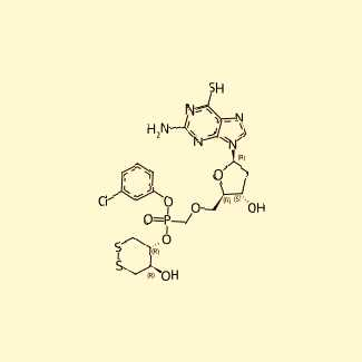 Nc1nc(S)c2ncn([C@H]3C[C@H](O)[C@@H](COCP(=O)(Oc4cccc(Cl)c4)O[C@H]4CSSC[C@@H]4O)O3)c2n1